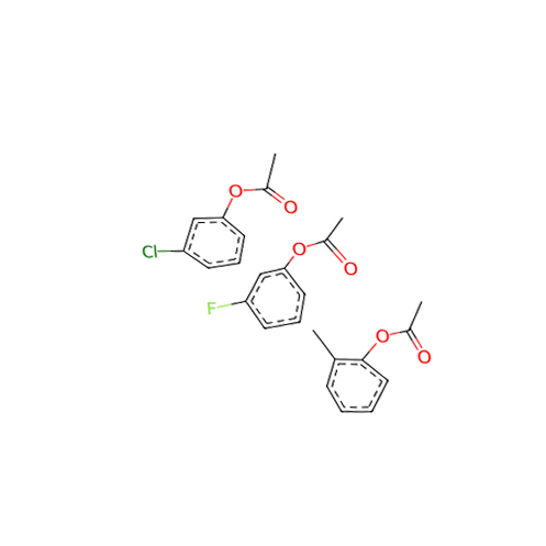 CC(=O)Oc1cccc(Cl)c1.CC(=O)Oc1cccc(F)c1.CC(=O)Oc1ccccc1C